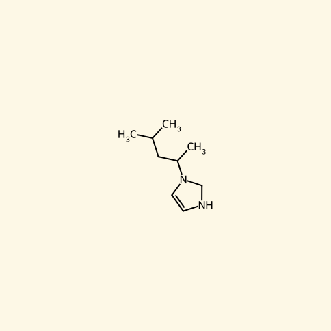 CC(C)CC(C)N1C=CNC1